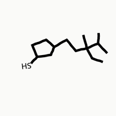 CCC(C)(CCC1CCC(S)C1)C(C)C